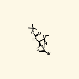 COc1nn2c(Br)csc2c1NC(=O)OC(C)(C)C